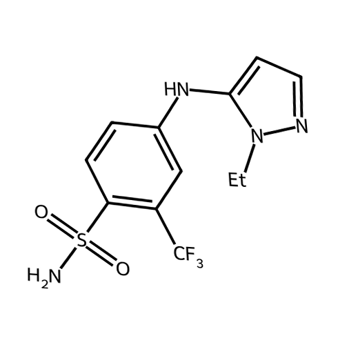 CCn1nccc1Nc1ccc(S(N)(=O)=O)c(C(F)(F)F)c1